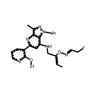 C/C=C(/CNc1cc(-c2cccnc2OCC)nc2c(C)nn(C(C)C)c12)O/N=C/CF